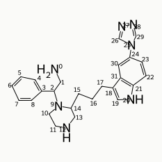 NCC(c1ccccc1)N1CCNCC1CCCc1c[nH]c2ccc(-n3cnnc3)cc12